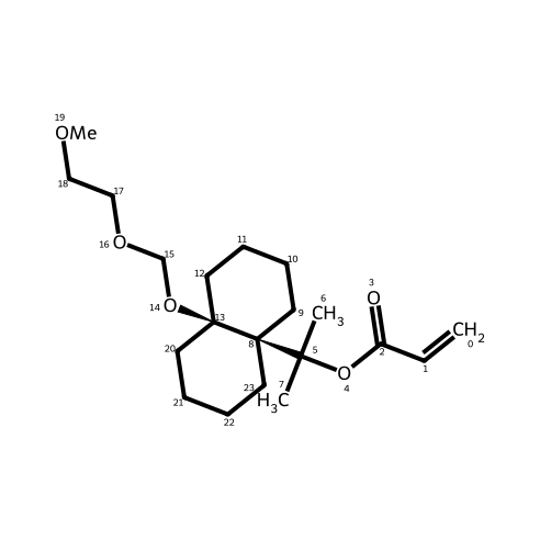 C=CC(=O)OC(C)(C)[C@]12CCCC[C@@]1(OCOCCOC)CCCC2